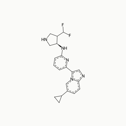 FC(F)C1CNC[C@@H]1Nc1cccc(-c2cnc3ccc(C4CC4)cn23)n1